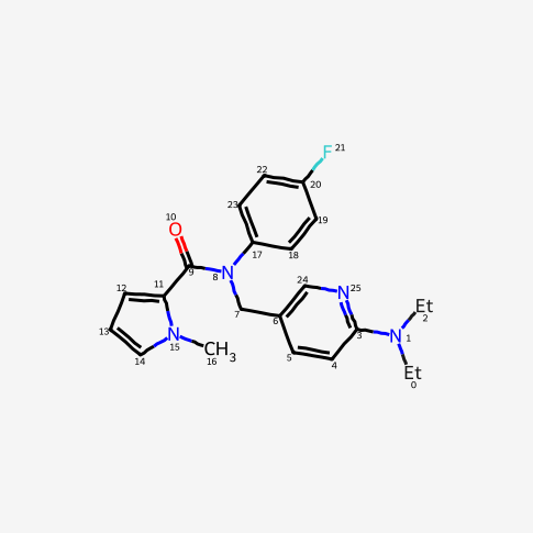 CCN(CC)c1ccc(CN(C(=O)c2cccn2C)c2ccc(F)cc2)cn1